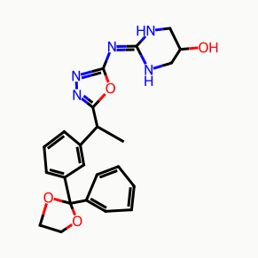 CC(c1cccc(C2(c3ccccc3)OCCO2)c1)c1nnc(N=C2NCC(O)CN2)o1